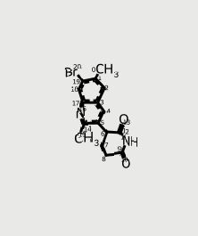 Cc1cc2cc(C3CCC(=O)NC3=O)c(C)nc2cc1Br